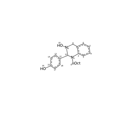 CCCCCCCCN1c2ccccc2CN(O)C1c1ccc(O)cc1